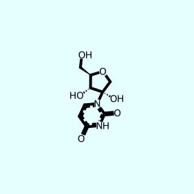 O=c1ccn([C@]2(O)CO[C@H](CO)[C@H]2O)c(=O)[nH]1